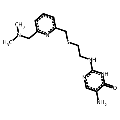 CN(C)Cc1cccc(CSCCNc2ncc(N)c(=O)[nH]2)n1